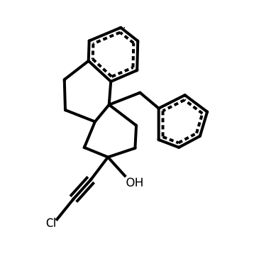 OC1(C#CCl)CCC2(Cc3ccccc3)c3cc[c]cc3CCC2C1